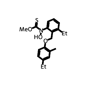 CCc1ccc(OCc2c(CC)cccc2N(O)C(=S)OC)c(C)c1